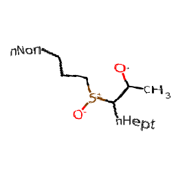 CCCCCCCCCCCC[S+]([O-])C(CCCCCCC)C(C)[O]